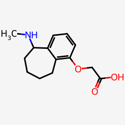 CNC1CCCCc2c(OCC(=O)O)cccc21